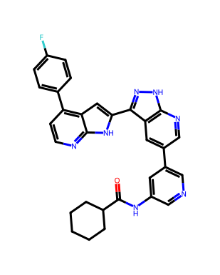 O=C(Nc1cncc(-c2cnc3[nH]nc(-c4cc5c(-c6ccc(F)cc6)ccnc5[nH]4)c3c2)c1)C1CCCCC1